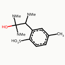 CNC(c1cc(C)ccc1S(=O)(=O)O)C(O)(NC)NC